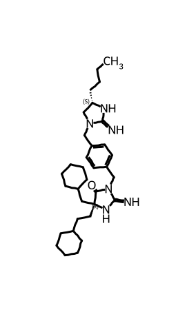 CCCC[C@H]1CN(Cc2ccc(CN3C(=N)N[C@](CCC4CCCCC4)(CC4CCCCC4)C3=O)cc2)C(=N)N1